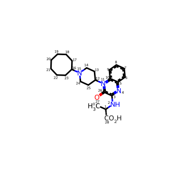 CC(Nc1nc2ccccc2n(C2CCN(C3CCCCCCC3)CC2)c1=O)C(=O)O